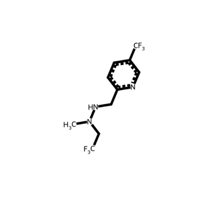 CN(CC(F)(F)F)NCc1ccc(C(F)(F)F)cn1